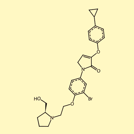 O=C1C(Oc2ccc(C3CC3)cc2)=CCN1c1ccc(OCCN2CCC[C@H]2CO)c(Br)c1